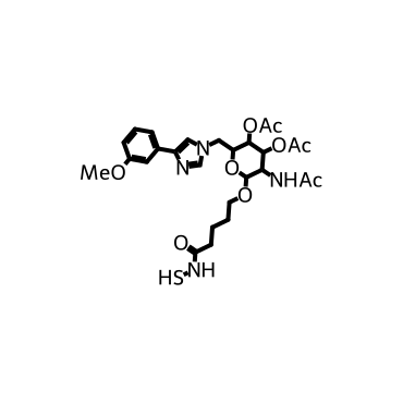 COc1cccc(-c2cn(CC3OC(OCCCCC(=O)NS)C(NC(C)=O)C(OC(C)=O)C3OC(C)=O)cn2)c1